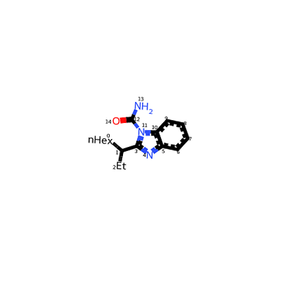 CCCCCCC(CC)c1nc2ccccc2n1C(N)=O